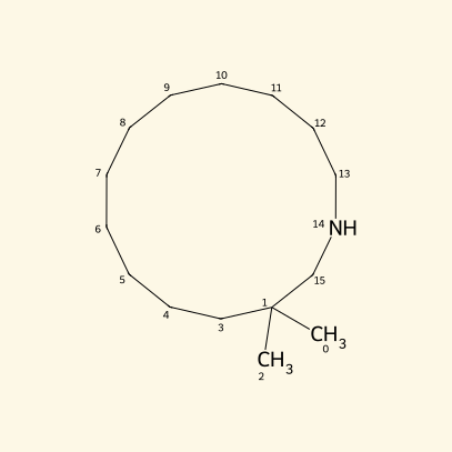 CC1(C)CCCCCCCCCCCNC1